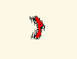 COC(C)(C)CCOC(C)(C)CC(=O)N[C@@H](CCC(=O)NCC(=O)N/N=C1\C=C[C@@]2(C)C(=C1)CC[C@H]1[C@@H]3C[C@@H](C)[C@](O)(C(=O)CO)[C@@]3(C)C[C@H](O)[C@@]12F)C(=O)NCC(=O)N/N=C1\C=C[C@@]2(C)C(=C1)CC[C@H]1[C@@H]3C[C@@H](C)[C@](O)(C(=O)CO)[C@@]3(C)C[C@H](O)[C@@]12F